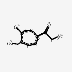 [C-]#[N+]CC(=O)c1ccc(O)c(Cl)c1